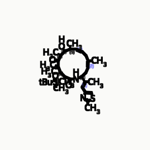 C/C1=C/C[C@@H](/C(C)=C/c2csc(C)n2)NC(=O)C[C@H](O[Si](C)(C)C(C)(C)C)C(C)(C)C(=O)[C@H](C)[C@@H](O)[C@@H](C)/C=C\C1